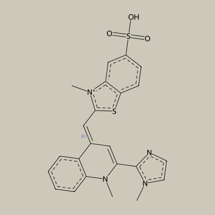 CN1C(c2nccn2C)=C/C(=C\c2sc3ccc(S(=O)(=O)O)cc3[n+]2C)c2ccccc21